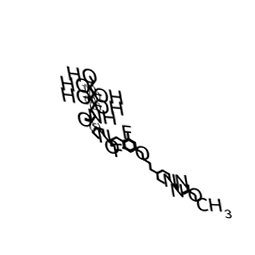 CCOc1cnc(N2CCC(CCCOc3cc(F)c(CC(=O)N4CC[C@H](C(=O)NC[C@H](O)[C@@H](O)[C@H](O)[C@H](O)CO)C4)c(F)c3)CC2)nc1